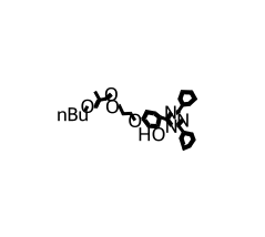 CCCCOC=C(C)C(=O)OCCCOc1ccc(-c2nc(-c3ccccc3)nc(-c3ccccc3)n2)c(O)c1